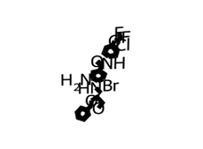 Nc1cc(C(=O)Nc2ccc(OC(F)(F)Cl)cc2)cc(Br)c1NC[C@H]1COC(c2ccccc2)O1